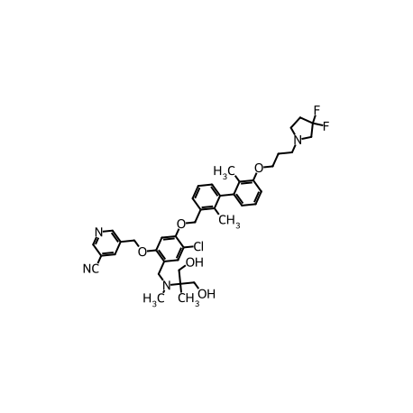 Cc1c(COc2cc(OCc3cncc(C#N)c3)c(CN(C)C(C)(CO)CO)cc2Cl)cccc1-c1cccc(OCCCN2CCC(F)(F)C2)c1C